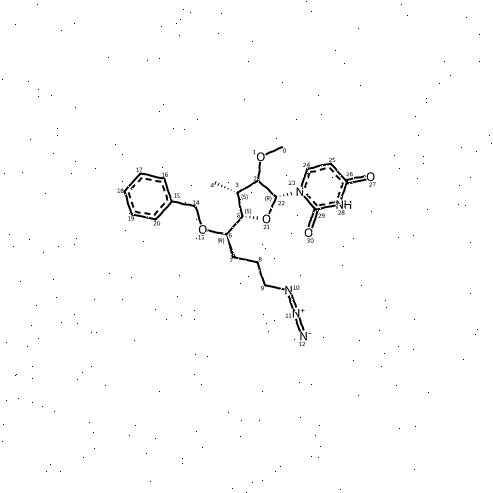 COC1[C@@H](C)[C@@H]([C@@H](CCCN=[N+]=[N-])OCc2ccccc2)O[C@H]1n1ccc(=O)[nH]c1=O